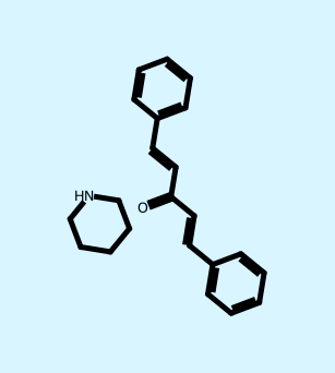 C1CCNCC1.O=C(C=Cc1ccccc1)C=Cc1ccccc1